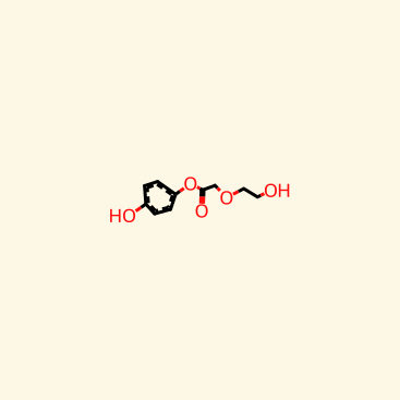 O=C(COCCO)Oc1ccc(O)cc1